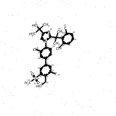 CC(C)(O)c1cn(-c2ccc(-c3cc(F)c(CO)c(S(C)(=O)=O)c3)cc2Cl)c(C(C)(C)c2c(F)cccc2Cl)n1